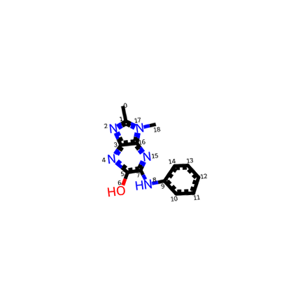 Cc1nc2nc(O)c(Nc3ccccc3)nc2n1C